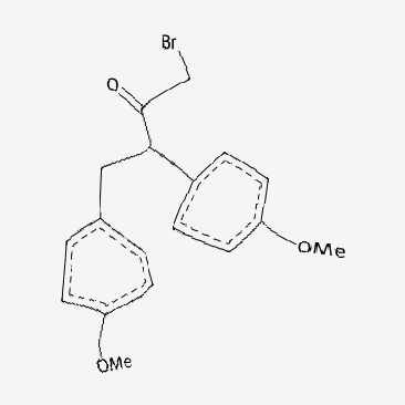 COc1ccc(CC(C(=O)CBr)c2ccc(OC)cc2)cc1